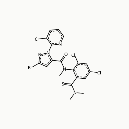 CN(C)C(=S)c1cc(Cl)cc(Cl)c1N(C)C(=O)c1cc(Br)nn1-c1ncccc1Cl